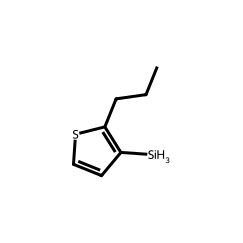 CCCc1sccc1[SiH3]